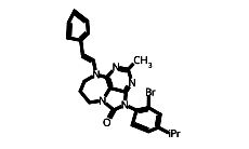 Cc1nc2c3c(n1)n(-c1ccc(C(C)C)cc1Br)c(=O)n3CCCN2C=Cc1ccccc1